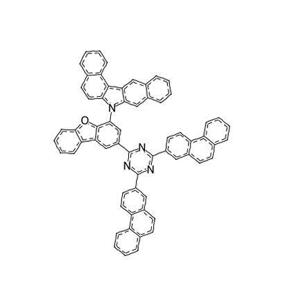 c1ccc2cc3c(cc2c1)c1c2ccccc2ccc1n3-c1cc(-c2nc(-c3ccc4c(ccc5ccccc54)c3)nc(-c3ccc4c(ccc5ccccc54)c3)n2)cc2c1oc1ccccc12